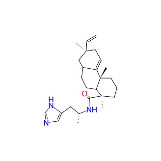 C=C[C@@]1(C)CC=C2C(CCC3[C@](C)(C(=O)N[C@H](C)Cc4cnc[nH]4)CCC[C@@]23C)C1